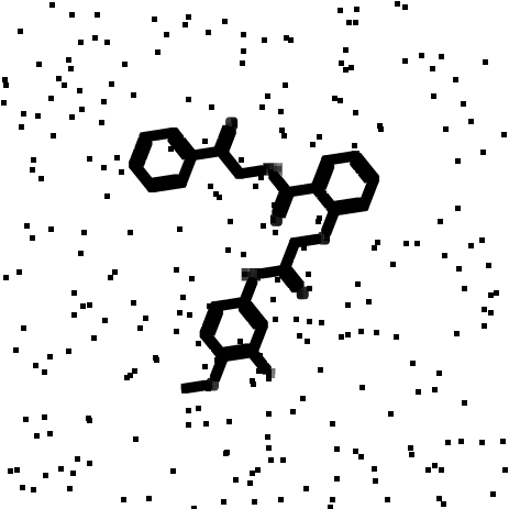 COc1ccc(NC(=O)COc2ccccc2C(=O)NCC(=O)c2ccccc2)cc1F